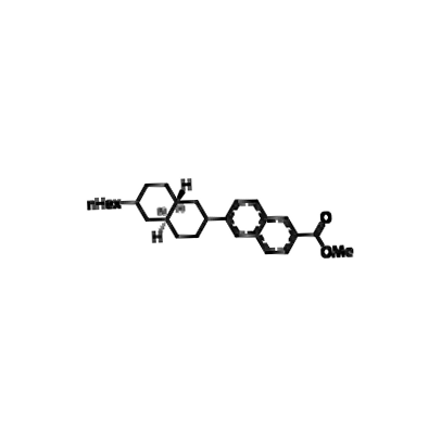 CCCCCCC1CC[C@@H]2CC(c3ccc4cc(C(=O)OC)ccc4c3)CC[C@H]2C1